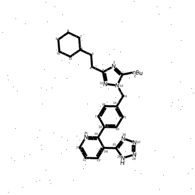 CCCCc1nc(CCC2CCCCC2)nn1Cc1ccc(-c2ncccc2-c2nnn[nH]2)cc1